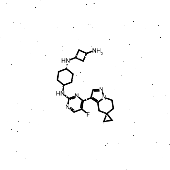 NC1CC(N[C@H]2CC[C@H](Nc3ncc(F)c(-c4cnn5c4CC4(CC5)CC4)n3)CC2)C1